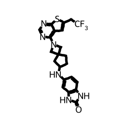 O=c1[nH]c2ccc(NC3CCC4(C3)CN(c3ncnc5sc(CC(F)(F)F)cc35)C4)cc2[nH]1